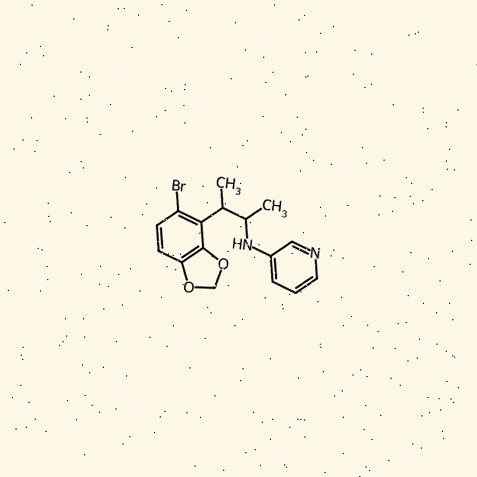 CC(Nc1cccnc1)C(C)c1c(Br)ccc2c1OCO2